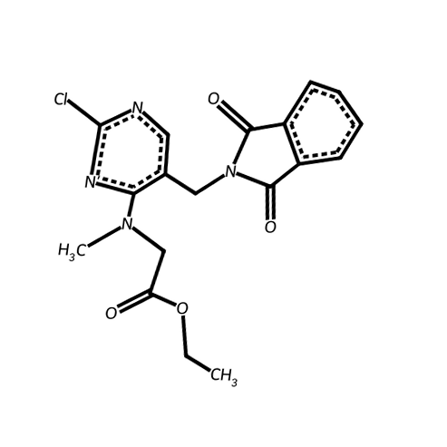 CCOC(=O)CN(C)c1nc(Cl)ncc1CN1C(=O)c2ccccc2C1=O